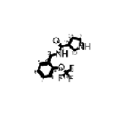 O=C(NCc1ccccc1OC(F)(F)F)C1CCNC1